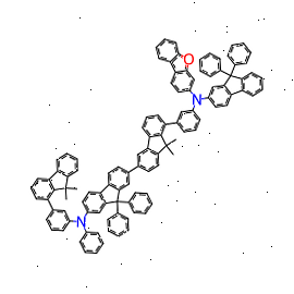 CC1(C)c2ccccc2-c2cccc(-c3cccc(N(c4ccccc4)c4ccc5c(c4)C(c4ccccc4)(c4ccccc4)c4cc(-c6ccc7c(c6)-c6cccc(-c8cccc(N(c9ccc%10c(c9)C(c9ccccc9)(c9ccccc9)c9ccccc9-%10)c9ccc%10c(c9)oc9ccccc9%10)c8)c6C7(C)C)ccc4-5)c3)c21